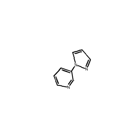 [c]1ncccc1-n1cccn1